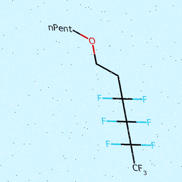 CCCCCOCCC(F)(F)C(F)(F)C(F)(F)C(F)(F)F